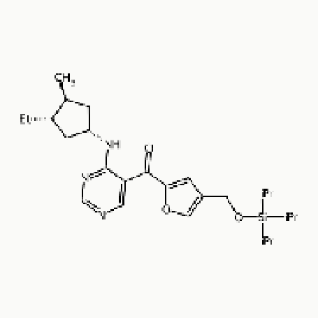 CC[C@H]1C[C@@H](Nc2ncncc2C(=O)c2cc(CO[Si](C(C)C)(C(C)C)C(C)C)co2)C[C@@H]1C